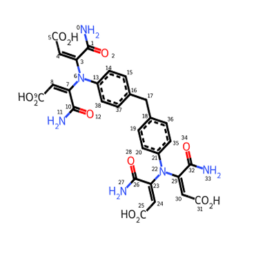 NC(=O)C(=CC(=O)O)N(C(=CC(=O)O)C(N)=O)c1ccc(Cc2ccc(N(C(=CC(=O)O)C(N)=O)C(=CC(=O)O)C(N)=O)cc2)cc1